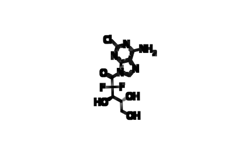 Nc1nc(Cl)nc2c1ncn2C(=O)C(F)(F)[C@H](O)[C@H](O)CO